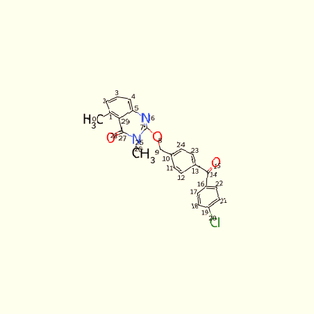 Cc1cccc2nc(OCc3ccc(C(=O)c4ccc(Cl)cc4)cc3)n(C)c(=O)c12